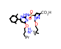 Cc1cccc(C)c1-c1cc(OC[C@H](N)CC(C)C)nc(NS(=O)(=O)c2cc(C(=O)O)nn2COCC[Si](C)(C)C)n1